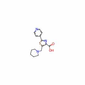 O=C(O)c1nc(-c2ccncc2)sc1CN1CCCCC1